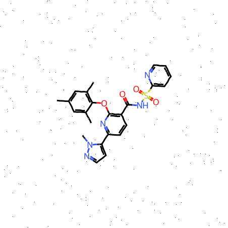 Cc1cc(C)c(Oc2nc(-c3ccnn3C)ccc2C(=O)NS(=O)(=O)c2ccccn2)c(C)c1